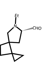 CCN1CC2(CCC23CC3)C[C@H]1C=O